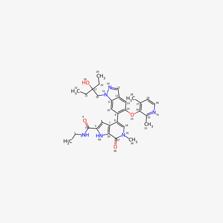 CCNC(=O)c1cc2c(-c3cc4c(cnn4CC(O)(CC)CC)cc3Oc3c(C)ccnc3C)cn(C)c(=O)c2[nH]1